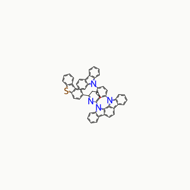 C1=C(n2c3ccccc3c3ccc4c5ccccc5n(-c5ccc(-n6c7ccccc7c7ccccc76)cc5)c4c32)N=C(c2ccc3sc4ccccc4c3c2)CC1